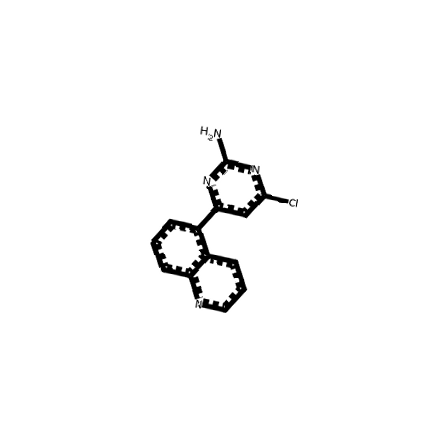 Nc1nc(Cl)cc(-c2cccc3ncccc23)n1